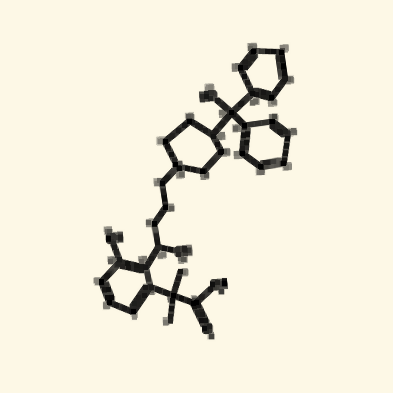 CC(C)(C(=O)O)c1cccc(O)c1C(O)CCCN1CCC(C(O)(c2ccccc2)c2ccccc2)CC1